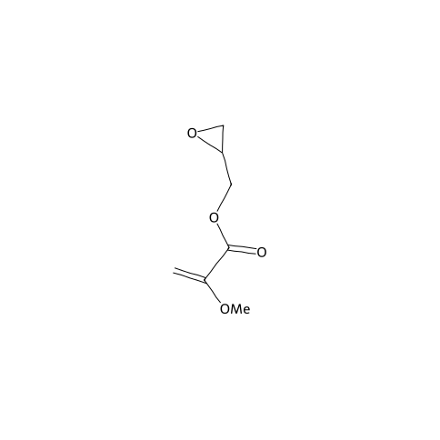 C=C(OC)C(=O)OCC1CO1